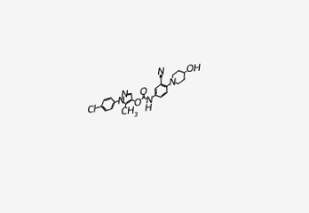 Cc1c(OC(=O)Nc2ccc(N3CCC(O)CC3)c(C#N)c2)cnn1-c1ccc(Cl)cc1